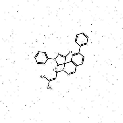 CC(C)=CC(=O)N1N=Cc2ccc(-c3ccccc3)cc2C12C(=O)N(c1ccccc1)N=C2C